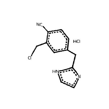 Cl.N#Cc1ccc(Cc2ncc[nH]2)cc1CCl